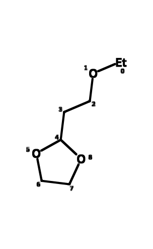 CCOCCC1OCCO1